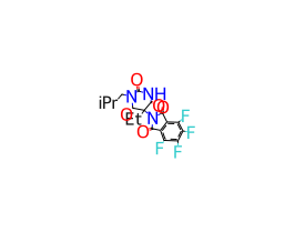 CCC1(N2C(=O)c3c(F)c(F)c(F)c(F)c3C2=O)C(=O)NC(=O)N(CC(C)C)C1=O